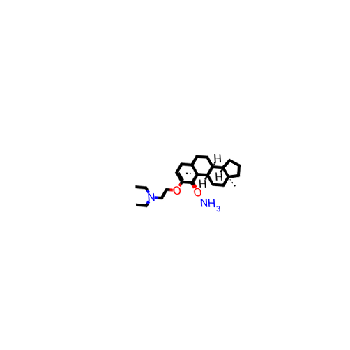 CCN(CC)CCOC1=CCC2CC[C@H]3[C@@H]4CCC[C@@]4(C)CC[C@@H]3[C@@]2(C)C1=O.N